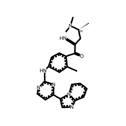 Cc1cc(Nc2nccc(-c3cnc4ccccn34)n2)ccc1C(=O)C(=N)C[C@@H](C)N(C)C